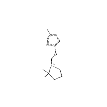 Cc1ccc(OC[C@H]2CCCC2(C)C)nc1